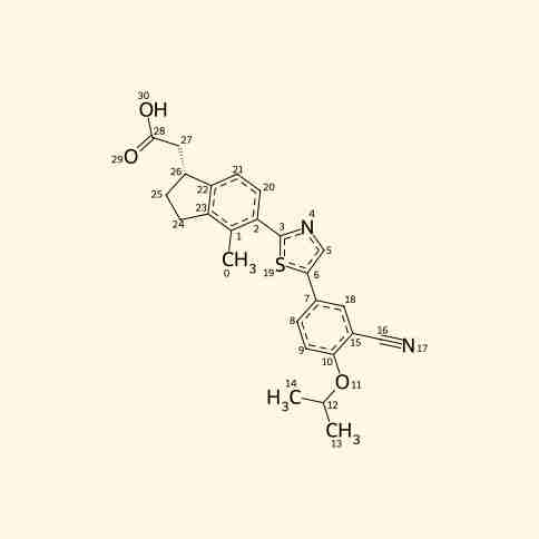 Cc1c(-c2ncc(-c3ccc(OC(C)C)c(C#N)c3)s2)ccc2c1CC[C@@H]2CC(=O)O